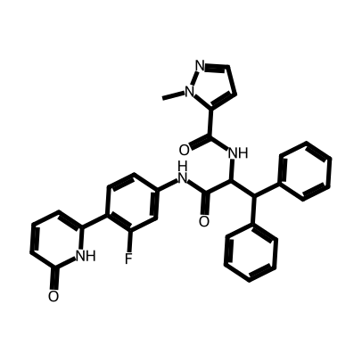 Cn1nccc1C(=O)NC(C(=O)Nc1ccc(-c2cccc(=O)[nH]2)c(F)c1)C(c1ccccc1)c1ccccc1